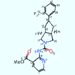 COC(=O)c1cccnc1NC(=O)N1C[C@H]2CC(c3ccccc3C(F)(F)F)C[C@H]2C1